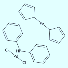 C1=C[CH]([Fe][CH]2C=CC=C2)C=C1.[Cl][Pd][Cl].c1ccc(Pc2ccccc2)cc1